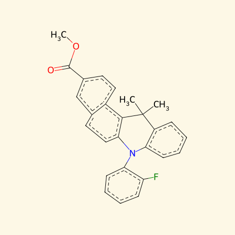 COC(=O)c1ccc2c3c(ccc2c1)N(c1ccccc1F)c1ccccc1C3(C)C